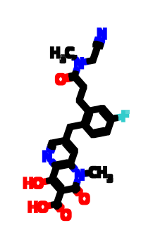 CN(CC#N)C(=O)CCc1cc(F)ccc1Cc1cnc2c(O)c(C(=O)O)c(=O)n(C)c2c1